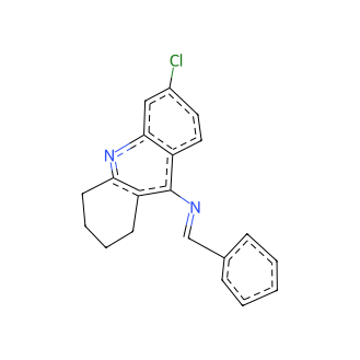 Clc1ccc2c(N=Cc3ccccc3)c3c(nc2c1)CCCC3